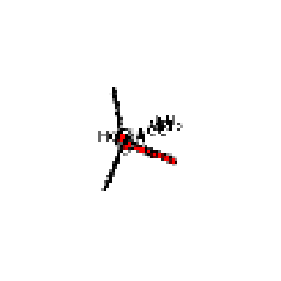 CCCCCCCCCCCCCCCCO[C@@](CCCCCCCCCCCCCCCC)(C(=O)CCCCCCCCCCCCCCCC)C(O)(CCCCCCCCCCCCCCCC)C(O)C(O)CO.NC(=O)C(Cl)(Cl)Cl